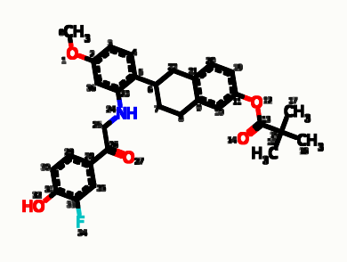 COc1ccc(C2CCc3cc(OC(=O)C(C)(C)C)ccc3C2)c(NCC(=O)c2ccc(O)c(F)c2)c1